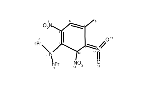 CCCN(CCC)C1=C([N+](=O)[O-])C=C(C)C(=S(=O)=O)C1[N+](=O)[O-]